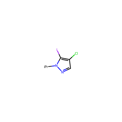 CC(C)n1ncc(Cl)c1I